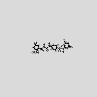 COc1ccc(Cl)cc1C(=O)NC(=S)Nc1ccc(S(=O)(=O)Nc2nc(C)cc(C)n2)cc1